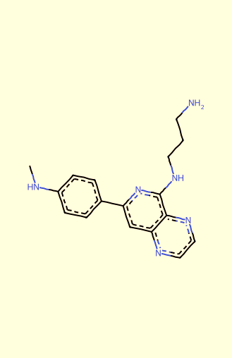 CNc1ccc(-c2cc3nccnc3c(NCCCN)n2)cc1